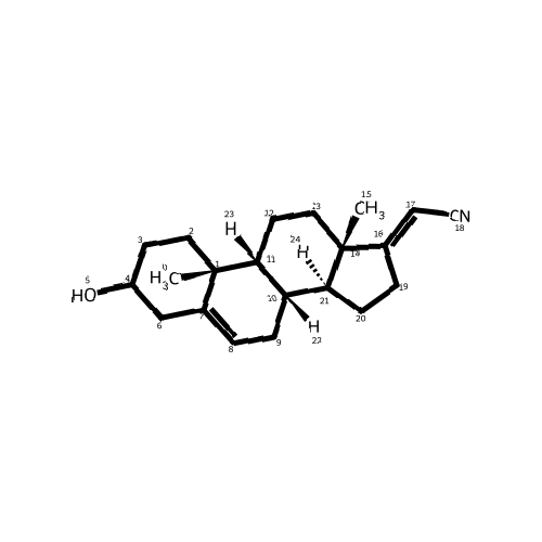 C[C@]12CCC(O)CC1=CC[C@@H]1[C@H]2CC[C@]2(C)C(=CC#N)CC[C@@H]12